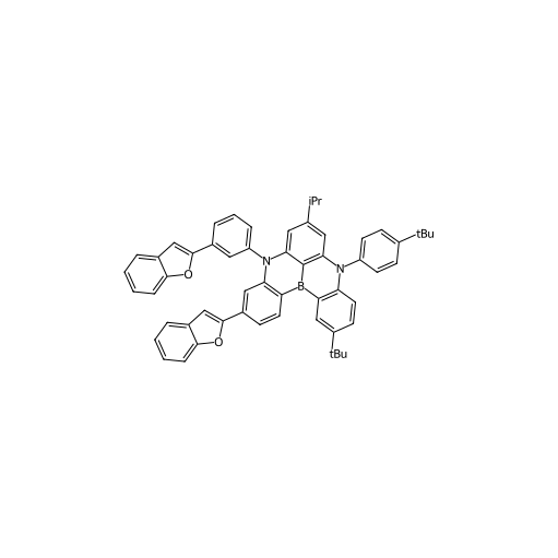 CC(C)c1cc2c3c(c1)N(c1cccc(-c4cc5ccccc5o4)c1)c1cc(-c4cc5ccccc5o4)ccc1B3c1cc(C(C)(C)C)ccc1N2c1ccc(C(C)(C)C)cc1